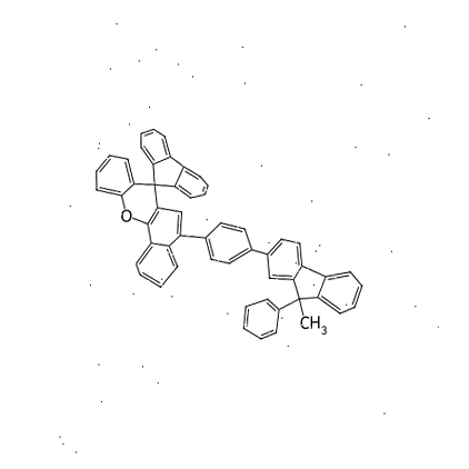 CC1(c2ccccc2)c2ccccc2-c2ccc(-c3ccc(-c4cc5c(c6ccccc46)Oc4ccccc4C54c5ccccc5-c5ccccc54)cc3)cc21